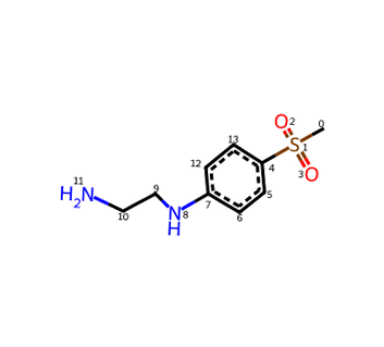 CS(=O)(=O)c1ccc(NCCN)cc1